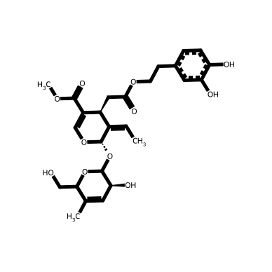 C/C=C1\[C@H](OC2OC(CO)C(C)=C[C@@H]2O)OC=C(C(=O)OC)[C@H]1CC(=O)OCCc1ccc(O)c(O)c1